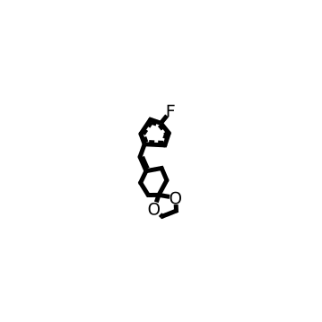 Fc1ccc(C=C2CCC3(CC2)OCCO3)cc1